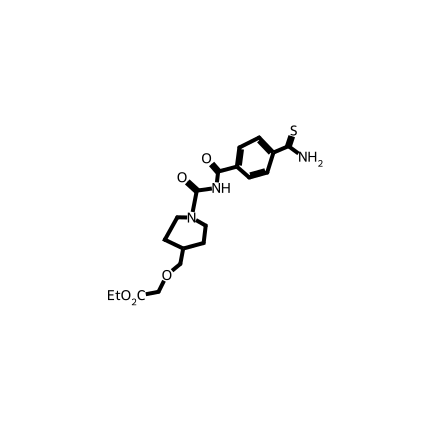 CCOC(=O)COCC1CCN(C(=O)NC(=O)c2ccc(C(N)=S)cc2)CC1